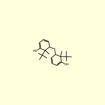 CC(C)(C)C1(C)C(O)=CC=CC1SC1C=CC=C(O)C1(C)C(C)(C)C